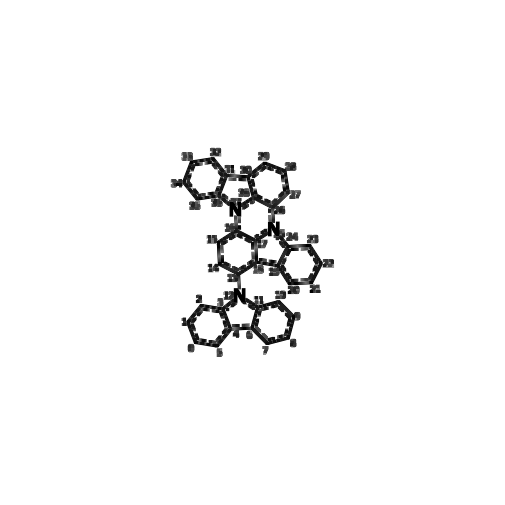 c1ccc2c(c1)c1ccccc1n2-c1ccc2c3c1c1ccccc1n3c1cccc3c4ccccc4n2c31